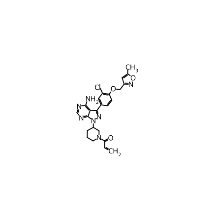 C=CC(=O)N1CCCC(n2nc(-c3ccc(OCc4cc(C)on4)c(Cl)c3)c3c(N)ncnc32)C1